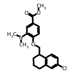 COC(=O)c1ccc(OCC2CCCc3cc(Cl)ccc32)c(N(C)C)c1